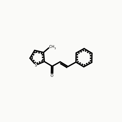 Cc1ccsc1C(=O)C=Cc1ccccc1